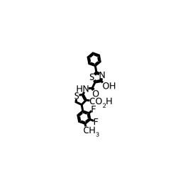 Cc1ccc(C2CSC(NC(=O)c3sc(-c4ccccc4)nc3O)=C2C(=O)O)c(F)c1F